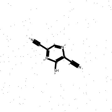 N#Cc1cnc(C#N)c(S)n1